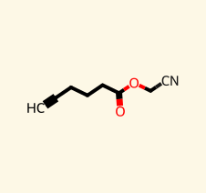 C#CCCCC(=O)OCC#N